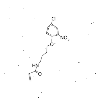 C=CC(=O)NCCCCOc1ccc(Cl)cc1[N+](=O)[O-]